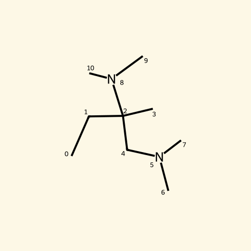 CCC(C)(CN(C)C)N(C)C